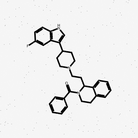 O=C(c1ccccc1)N1CCc2ccccc2C1CCN1CCC(c2c[nH]c3ccc(F)cc23)CC1